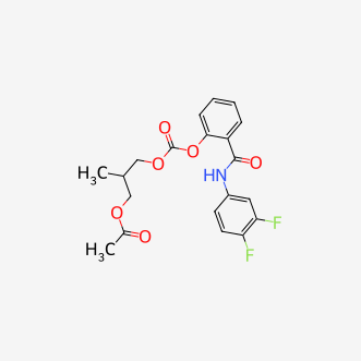 CC(=O)OCC(C)COC(=O)Oc1ccccc1C(=O)Nc1ccc(F)c(F)c1